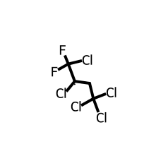 FC(F)(Cl)[C](Cl)CC(Cl)(Cl)Cl